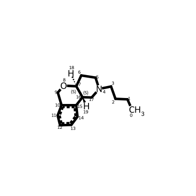 CCCCN1CC[C@@H]2OCc3ccccc3[C@H]2C1